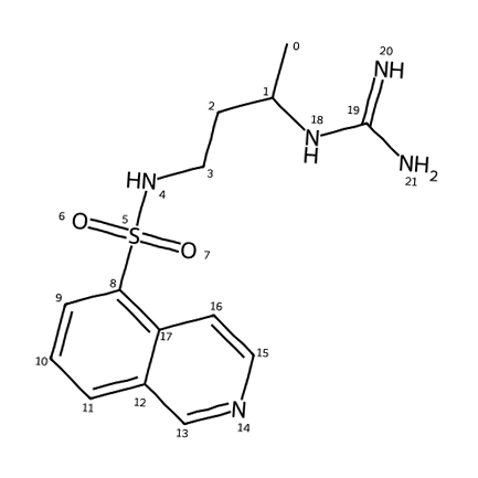 CC(CCNS(=O)(=O)c1cccc2cnccc12)NC(=N)N